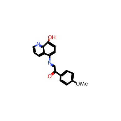 COc1ccc(C(=O)C=Nc2ccc(O)c3ncccc23)cc1